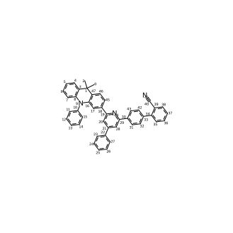 CC1(C)c2ccccc2N(c2ccccc2)c2cc(-c3cc(-c4ccccc4)cc(-c4ccc(-c5ccccc5C#N)cc4)n3)ccc21